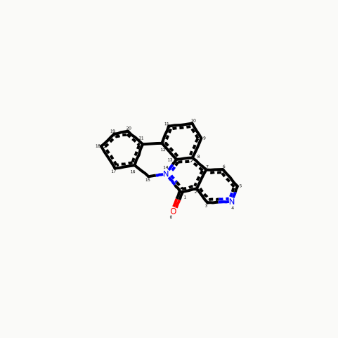 O=c1c2cnccc2c2cccc3c2n1Cc1ccccc1-3